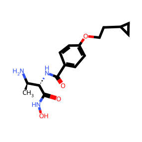 C[C@@H](N)[C@H](NC(=O)c1ccc(OCCC2CC2)cc1)C(=O)NO